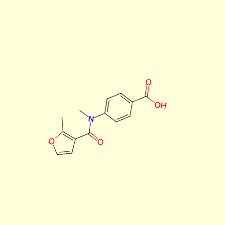 Cc1occc1C(=O)N(C)c1ccc(C(=O)O)cc1